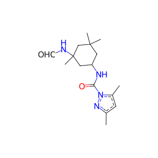 Cc1cc(C)n(C(=O)NC2CC(C)(C)CC(C)(NC=O)C2)n1